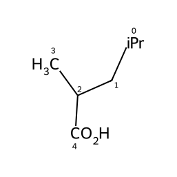 [CH2]C(C)CC(C)C(=O)O